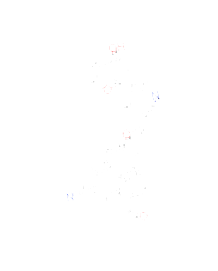 N#Cc1cc(-c2ccoc2)c2ccc(OCc3cncc(C4CC(O)CCO4)c3)cc2c1